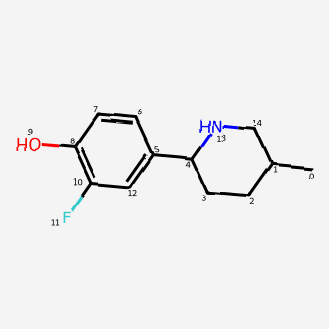 CC1CCC(c2ccc(O)c(F)c2)NC1